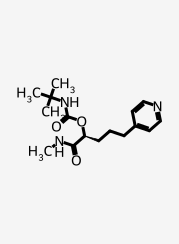 CNC(=O)[C@H](CCCc1ccncc1)OC(=O)NC(C)(C)C